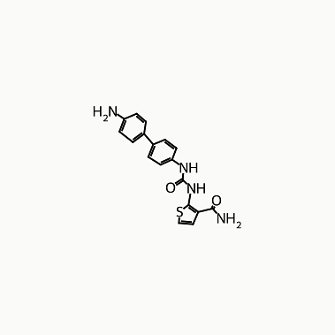 NC(=O)c1ccsc1NC(=O)Nc1ccc(-c2ccc(N)cc2)cc1